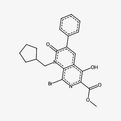 COC(=O)c1nc(Br)c2c(cc(-c3ccccc3)c(=O)n2CC2CCCC2)c1O